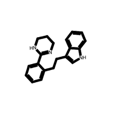 c1ccc(C2=NCCCN2)c(CCc2c[nH]c3ccccc23)c1